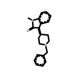 CN1C(=O)C(=C2CCN(Cc3ccccc3)CC2)c2ccccc21